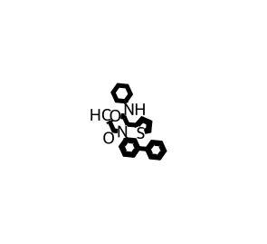 C#CC(=O)N(c1cccc(-c2ccccc2)c1)C(C(=O)NC1CCCCC1)c1cccs1